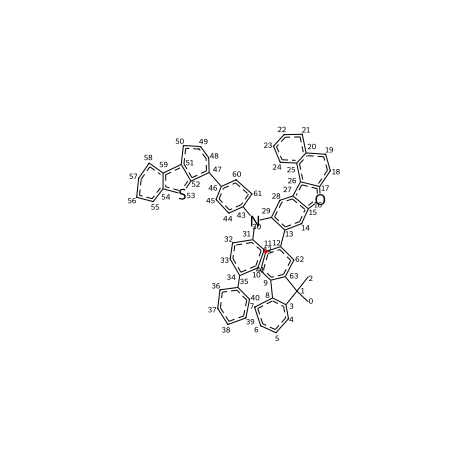 CC1(C)c2ccccc2-c2ccc(-c3cc4oc5ccc6ccccc6c5c4cc3N(c3ccc(-c4ccccc4)cc3)c3ccc(-c4cccc5c4sc4ccccc45)cc3)cc21